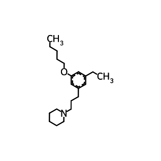 CCCCCOc1cc(CC)cc(CCCN2CCCCC2)c1